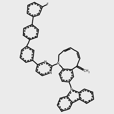 C=C1/C=C\C=C/CN(c2nccc(-c3cccc(-c4ccc(-c5cccc(F)c5)cc4)c3)n2)c2ccc(-n3c4ccccc4c4ccccc43)cc21